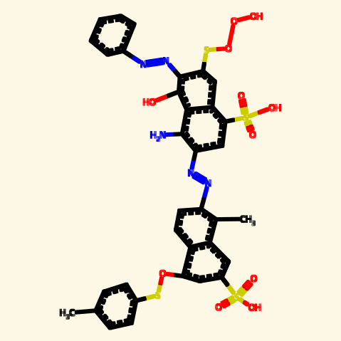 Cc1ccc(SOc2cc(S(=O)(=O)O)cc3c(C)c(N=Nc4cc(S(=O)(=O)O)c5cc(SOOO)c(N=Nc6ccccc6)c(O)c5c4N)ccc23)cc1